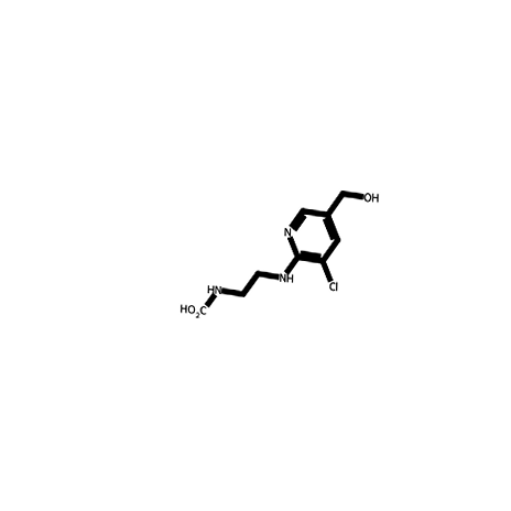 O=C(O)NCCNc1ncc(CO)cc1Cl